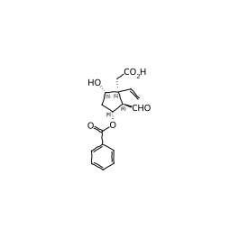 C=C[C@]1(CC(=O)O)[C@@H](O)C[C@@H](OC(=O)c2ccccc2)[C@@H]1C=O